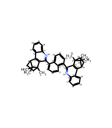 CC12CCC(c3c1c(-c1cccc4c(-c5nc6ccccc6c6c5C5(C)CCC6C5(C)C)cccc14)nc1ccccc31)C2(C)C